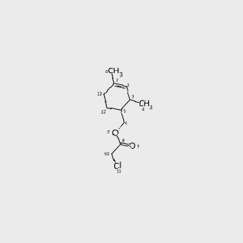 CC1=CC(C)C(COC(=O)CCl)CC1